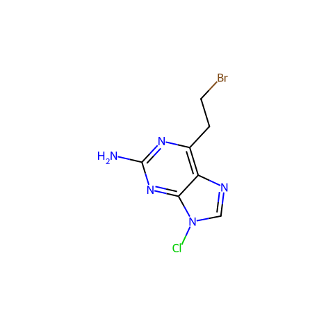 Nc1nc(CCBr)c2ncn(Cl)c2n1